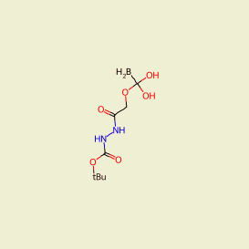 BC(O)(O)OCC(=O)NNC(=O)OC(C)(C)C